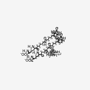 NC(CCC[C@H](N)C(=O)[O-])C(=O)CCCCCNC(=O)CCCC[C@@H]1SC[C@@H]2NC(=O)N[C@@H]21.NC(CCC[C@H](N)C(=O)[O-])C(=O)CCCCCNC(=O)CCCC[C@@H]1SC[C@@H]2NC(=O)N[C@@H]21.NCCN.O=[N+]([O-])[O-].O=[N+]([O-])[O-].[Pt+4]